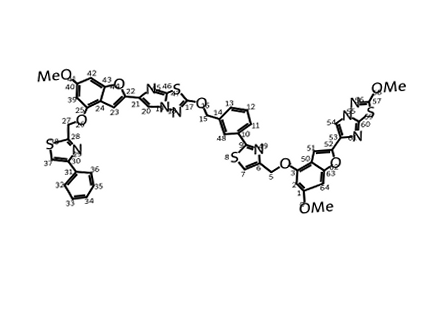 COc1cc(OCc2csc(-c3cccc(COc4nn5cc(-c6cc7c(OCc8nc(-c9ccccc9)cs8)cc(OC)cc7o6)nc5s4)c3)n2)c2cc(-c3cn4nc(OC)sc4n3)oc2c1